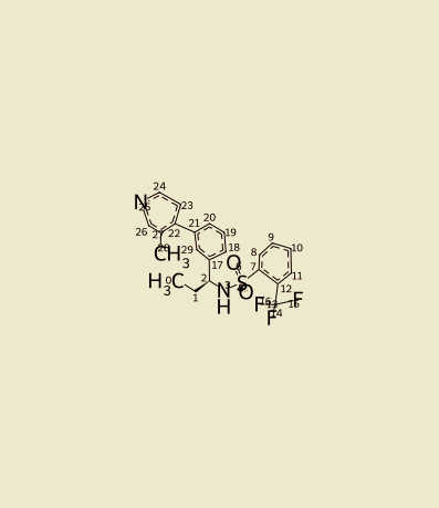 CC[C@H](NS(=O)(=O)c1ccccc1C(F)(F)F)c1cccc(-c2ccncc2C)c1